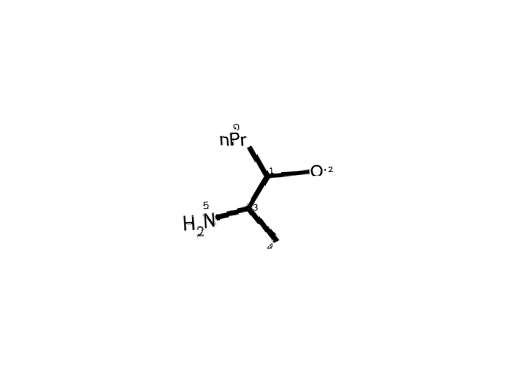 CCCC([O])C(C)N